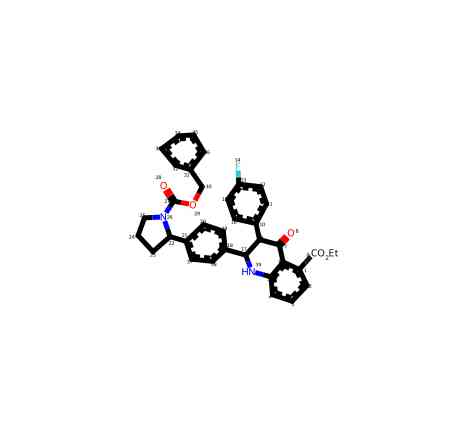 CCOC(=O)c1cccc2c1C(=O)C(c1ccc(F)cc1)C(c1ccc(C3CCCN3C(=O)OCc3ccccc3)cc1)N2